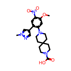 COc1cc(N2CCC3(CCN(C(=O)O)CC3)CC2)c(-c2cnn(C)c2)cc1[N+](=O)[O-]